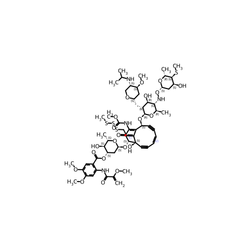 C=C(OC)C(=O)Nc1cc(OC)c(OC)cc1C(=O)O[C@H]1C[C@H](O[C@@H]2C(=O)C(NC(=O)OC)=C3/C(=C\CSSSC)[C@]2(O)C#C/C=C\C#C[C@@H]3O[C@@H]2O[C@H](C)[C@@H](NO[C@H]3C[C@H](O)[C@H](SC)[C@@H](C)O3)[C@H](O)[C@H]2C[C@H]2C[C@H](OC)[C@@H](NC(C)C)CO2)O[C@@H](C)[C@@H]1O